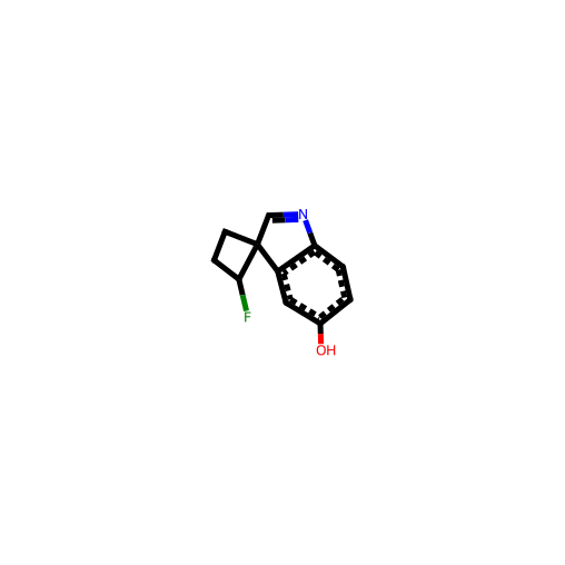 Oc1ccc2c(c1)C1(C=N2)CCC1F